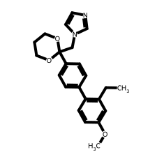 CCc1cc(OC)ccc1-c1ccc(C2(Cn3ccnc3)OCCCO2)cc1